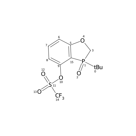 CC(C)(C)P1(=O)COc2cccc(OS(=O)(=O)C(F)(F)F)c21